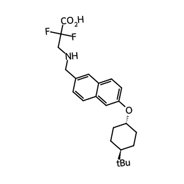 CC(C)(C)[C@H]1CC[C@H](Oc2ccc3cc(CNCC(F)(F)C(=O)O)ccc3c2)CC1